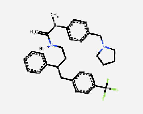 C=C(C(C)c1ccc(CN2CCCC2)cc1)N(C)CCC(Cc1ccc(C(F)(F)F)cc1)c1ccccc1